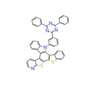 c1ccc(-c2nc(-c3ccccc3)nc(-c3cccc(-n4c5ccccc5c5c6c7cccnc7sc6c6sc7ccccc7c6c54)c3)n2)cc1